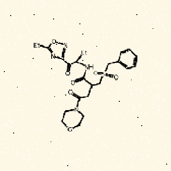 CCc1nc(C(=O)C(CC)NC(=O)C(CC(=O)N2CCOCC2)CS(=O)(=O)Cc2ccccc2)no1